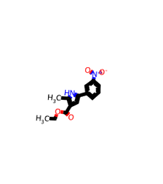 CCOC(=O)c1cc(-c2cccc([N+](=O)[O-])c2)[nH]c1C